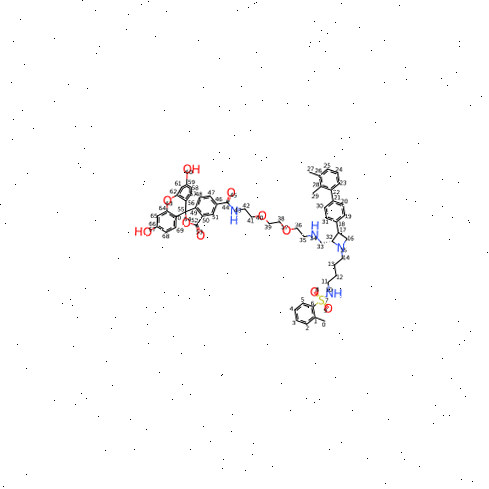 Cc1ccccc1S(=O)(=O)NCCCCN1CC(c2ccc(-c3cccc(C)c3C)cc2)[C@H]1CNCCOCCOCCNC(=O)c1ccc2c(c1)C(=O)OC21c2ccc(O)cc2Oc2cc(O)ccc21